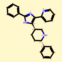 c1ccc(-c2nc(-c3ccccn3)c([C@@H]3CC[C@@H](c4ccccc4)NC3)[nH]2)cc1